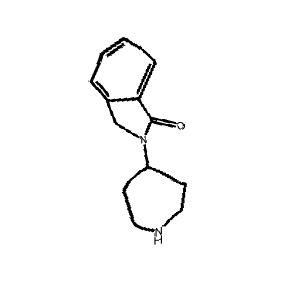 O=C1c2ccccc2CN1C1CCNCC1